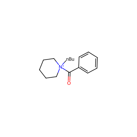 CCCC[N+]1(C(=O)c2ccccc2)CCCCC1